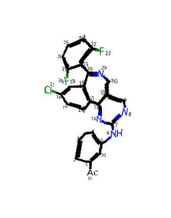 CC(=O)c1cccc(Nc2ncc3c(n2)-c2ccc(Cl)cc2C(c2c(F)cccc2F)=NC3)c1